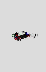 CC(C)c1onc(-c2c(Cl)cccc2Cl)c1COc1ccc(-c2ccc3c(OC(=O)O)nn(C(C)C)c3c2)cc1